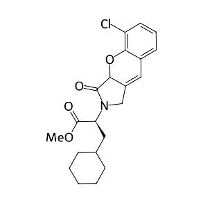 COC(=O)[C@H](CC1CCCCC1)N1CC2=Cc3cccc(Cl)c3OC2C1=O